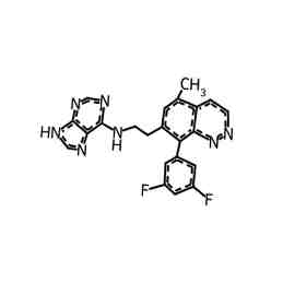 Cc1cc(CCNc2ncnc3[nH]cnc23)c(-c2cc(F)cc(F)c2)c2nnccc12